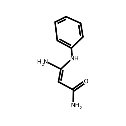 NC(=O)/C=C(/N)Nc1ccccc1